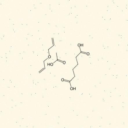 C=CCOCC=C.CC(=O)O.O=C(O)CCCCC(=O)O